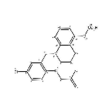 C=C(C)COc1ccc(Cl)cc1CN1CCCc2c(OC(=O)O)cccc21